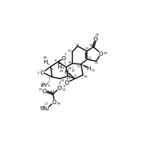 CC(C)[C@]12O[C@H]1[C@@H]1O[C@]13[C@]1(O[C@H]1C[C@H]1C4=C(CC[C@@]13C)C(=O)OC4)[C@@H]2OC(=O)OC(C)(C)C